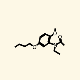 CCCCOc1ccc(OC)c(N(CC)C(C)=O)c1